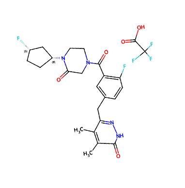 Cc1c(Cc2ccc(F)c(C(=O)N3CCN([C@@H]4CC[C@H](F)C4)C(=O)C3)c2)n[nH]c(=O)c1C.O=C(O)C(F)(F)F